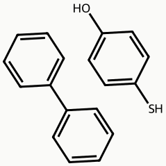 Oc1ccc(S)cc1.c1ccc(-c2ccccc2)cc1